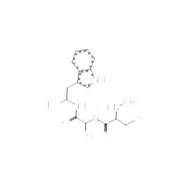 CC(C)CC(NC=O)C(=O)NC(C(=O)NC(C)Cc1c[nH]c2ccccc12)C(C)C